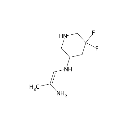 C/C(N)=C/NC1CNCC(F)(F)C1